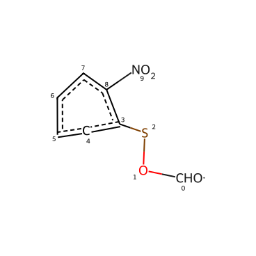 O=[C]OSc1ccccc1[N+](=O)[O-]